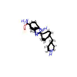 NC(=O)c1ccc2[nH]c(-c3ccc(CC4CCNCC4)cc3)nc2c1